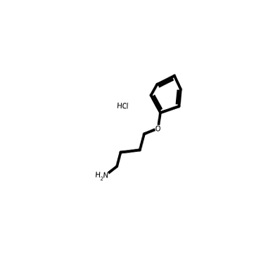 Cl.NCCCCOc1ccccc1